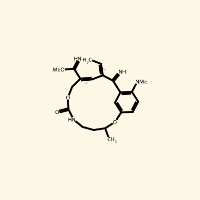 C/C=C1\C=C(/C(=N)OC)COC(=O)NCCC(C)Oc2ccc(NC)c(c2)C1=N